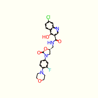 O=C(NC[C@H]1CN(c2ccc(N3CCOCC3)c(F)c2)C(=O)O1)c1cnc2cc(Cl)ccc2c1O